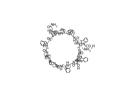 CC(C)C[C@@H]1NC(=O)C2CC/C=C\CCC(NC(=O)[C@H](Cc3cn(CC(=O)O)c4ccccc34)NC(=O)[C@H](CCN)NC(=O)[C@H](Cc3c[nH]c4ccccc34)NC(=O)[C@@H]3C[C@@H](O)CN3C(=O)C(Cc3ccccc3)NC(=O)CNC(=O)[C@H]3CCC4CC[C@@H](NC(=O)[C@@H]5CCCN5C(=O)[C@H](Cc5ccccc5)NC(=O)C[S+]([O-])C[C@@H](CC(=O)NCC(N)=O)N(C)C1=O)C(=O)N43)C(=O)N2C